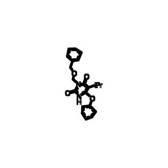 CC(C)c1c(Oc2ccccc2)[nH]c(=O)n(COCc2ccccc2)c1=O